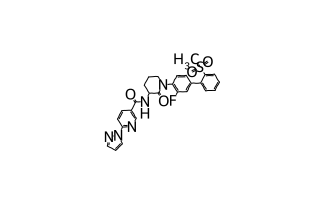 CS(=O)(=O)c1ccccc1-c1ccc(N2CCCC(NC(=O)c3ccc(-n4cccn4)nc3)C2=O)c(F)c1